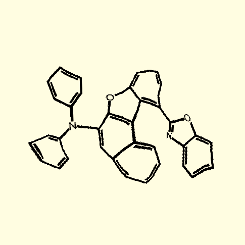 c1ccc(N(c2ccccc2)c2cc3ccccc3c3c2oc2cccc(-c4nc5ccccc5o4)c23)cc1